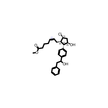 COC(=O)CCC/C=C\C[C@@H]1[C@@H](c2ccc(C(O)Cc3ccccc3)cc2)[C@H](O)C[C@@H]1Cl